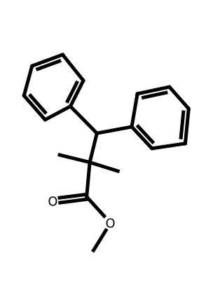 COC(=O)C(C)(C)C(c1ccccc1)c1ccccc1